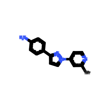 CCCc1cc(-n2ccc(-c3ccc(N)cc3)n2)ccn1